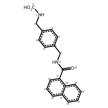 O=C(O)NCc1ccc(CNC(=O)c2cccc3ccccc23)cc1